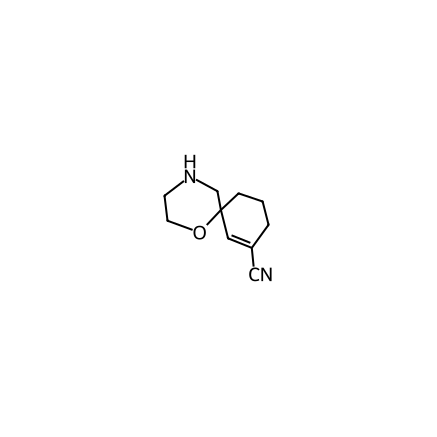 N#CC1=CC2(CCC1)CNCCO2